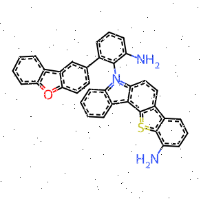 Nc1cccc(-c2ccc3oc4ccccc4c3c2)c1-n1c2ccccc2c2c3sc4c(N)cccc4c3ccc21